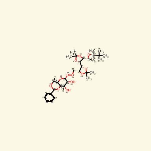 CC1(C)O[C@@H]([C@@H]2OC(C)(C)O[C@@H]2CO[Si](C)(C)C(C)(C)C)[C@@H](COO[C@@H]2O[C@@H]3COC(c4ccccc4)O[C@H]3[C@H](O)[C@@H]2O)O1